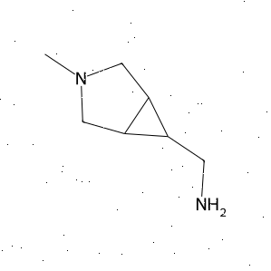 CN1CC2C(CN)C2C1